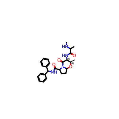 CNC(C)C(=O)N[C@@H]1C(=O)N2C(CCC2C(=O)NC(c2ccccc2)c2ccccc2)O[C@@H]1C